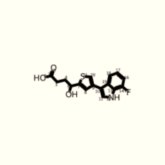 O=C(O)CCC(O)c1cc(-c2c[nH]c3c(F)cccc23)cs1